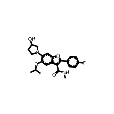 CNC(=O)c1c(-c2ccc(F)cc2)oc2cc(N3CCC(O)C3)c(OC(C)C)cc12